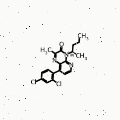 CCC[C@@H](C)n1c(=O)c(C)nc2c(-c3ccc(Cl)cc3Cl)ccnc21